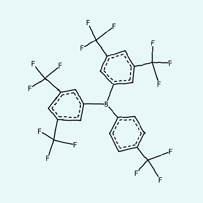 FC(F)(F)c1ccc(B(c2cc(C(F)(F)F)cc(C(F)(F)F)c2)c2cc(C(F)(F)F)cc(C(F)(F)F)c2)cc1